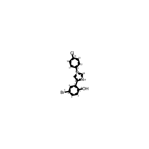 Oc1ccc(Br)cc1-c1cn(-c2ccc(Cl)cc2)cn1